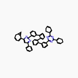 C1=CCCC(c2nc(C3=CCCC=C3)nc(-c3cccc(-c4ccccc4-c4ccccc4-c4cccc(-c5nc(C6=CC=CCC7C=C67)cc(-c6ccccc6)n5)c4)c3)n2)=C1